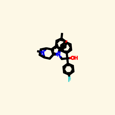 Cc1ccc2c(c1)c1c(n2CC(O)(c2ccccc2)c2ccc(F)cc2)CC2CCC1N2C